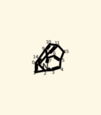 C1=CC2c3cc4cc(n3)-c3cc(cc2c31)C4